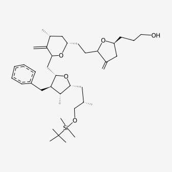 C=C1C[C@H](CCCO)OC1CC[C@H]1C[C@@H](C)C(=C)C(C[C@@H]2O[C@H](C[C@H](C)CO[Si](C)(C)C(C)(C)C)[C@H](C)[C@H]2Cc2ccccc2)O1